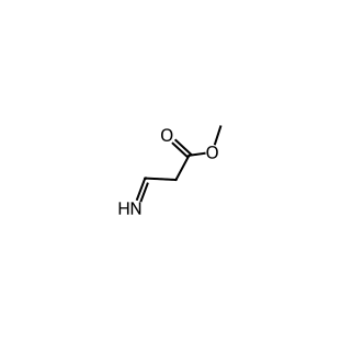 COC(=O)CC=N